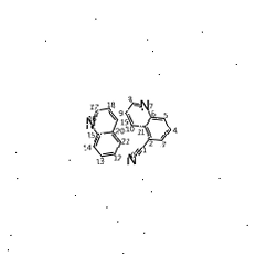 N#Cc1cccc2ncccc12.c1ccc2ncccc2c1